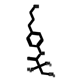 CCC(C)(C)C(=O)Nc1ccc(CCCO)cc1